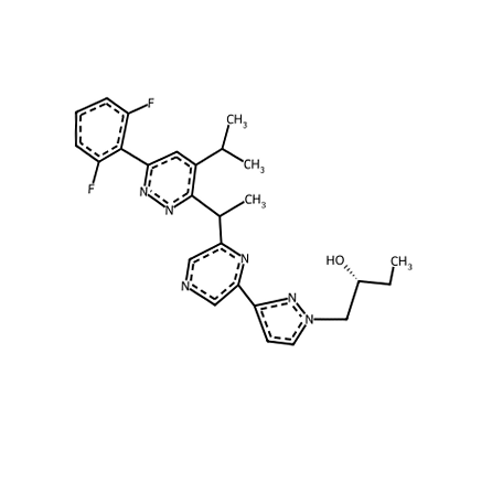 CC[C@@H](O)Cn1ccc(-c2cncc(C(C)c3nnc(-c4c(F)cccc4F)cc3C(C)C)n2)n1